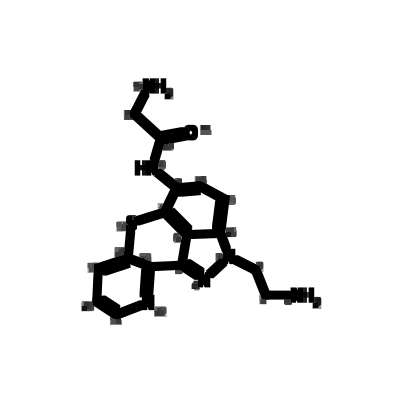 NCCn1nc2c3c(c(NC(=O)CN)ccc31)Sc1cccnc1-2